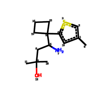 Cc1csc(C2(C(N)CC(C)(C)O)CCC2)c1